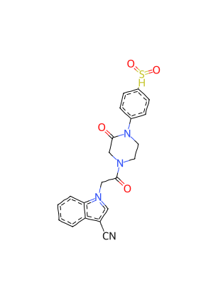 N#Cc1cn(CC(=O)N2CCN(c3ccc([SH](=O)=O)cc3)C(=O)C2)c2ccccc12